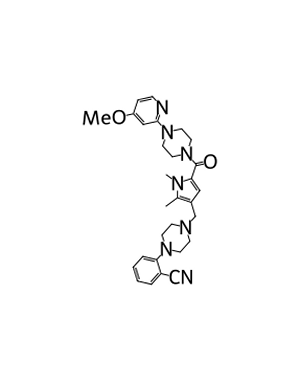 COc1ccnc(N2CCN(C(=O)c3cc(CN4CCN(c5ccccc5C#N)CC4)c(C)n3C)CC2)c1